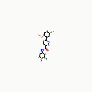 COc1ccc(F)cc1-c1ccc(C(=O)Nc2ccc(C)c(F)c2)cn1